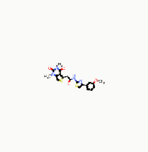 Cn1c(=O)c2c(CC(=O)Nc3nc(-c4cccc(OC(F)(F)F)c4)cs3)scc2n(C)c1=O